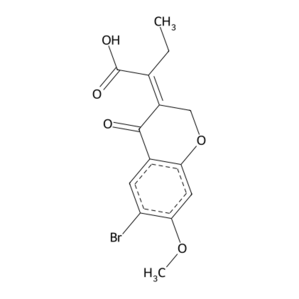 CCC(C(=O)O)=C1COc2cc(OC)c(Br)cc2C1=O